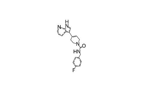 O=C(NCc1ccc(F)cc1)N1CC=C(c2c[nH]c3ncccc23)CC1